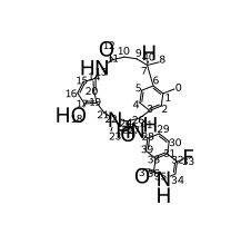 Cc1cc2ccc1[C@@H](C)CCC(=O)Nc1ccc(O)c(c1)CN(C)C(=O)[C@@H]2Nc1ccc2c(F)c[nH]c(=O)c2c1